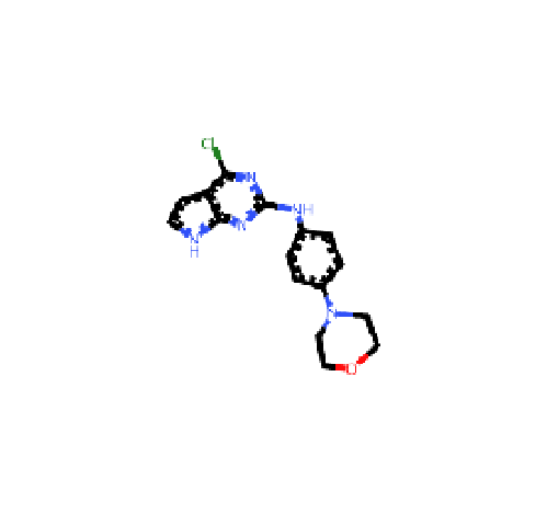 Clc1nc(Nc2ccc(N3CCOCC3)cc2)nc2[nH]ccc12